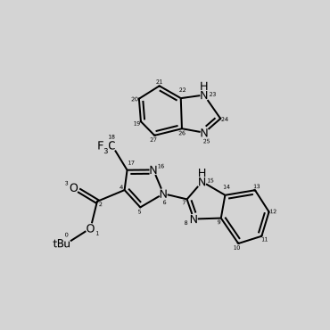 CC(C)(C)OC(=O)c1cn(-c2nc3ccccc3[nH]2)nc1C(F)(F)F.c1ccc2[nH]cnc2c1